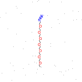 [CH2]COCCOCCOCCOCCOCCOCCOCCN=[N+]=[N-]